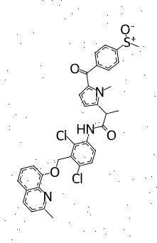 Cc1ccc2cccc(OCc3c(Cl)ccc(NC(=O)C(C)c4ccc(C(=O)c5ccc([S+](C)[O-])cc5)n4C)c3Cl)c2n1